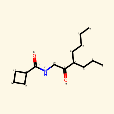 CCCCC(CCC)C(=O)CNC(=O)C1CCC1